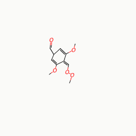 COOC=C1C(OC)=CC(C=O)C=C1OC